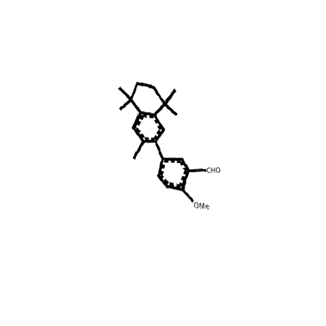 COc1ccc(-c2cc3c(cc2C)C(C)(C)CCC3(C)C)cc1C=O